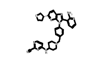 N#Cc1nccc(NC2CCN(Cc3ccc(-n4c(-c5cccnc5N)nc5ccc([C@@H]6CCOC6)nc54)cc3)CC2)n1